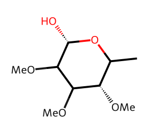 COC1C(OC)[C@H](O)OC(C)[C@@H]1OC